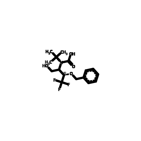 CC(C)(C)N(C(=O)O)C(CO)[C@H](OCc1ccccc1)C(F)(F)F